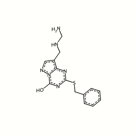 NCNCc1cnn2c(O)nc(SCc3ccccc3)nc12